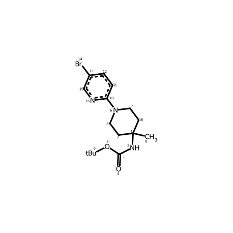 CC1(NC(=O)OC(C)(C)C)CCN(c2ccc(Br)cn2)CC1